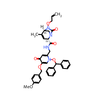 C=CCON1C(=O)N2C[C@H]1C(C)=C[C@H]2C(=O)NCc1cc(=O)c(OCc2ccc(OC)cc2)cn1OC(c1ccccc1)c1ccccc1